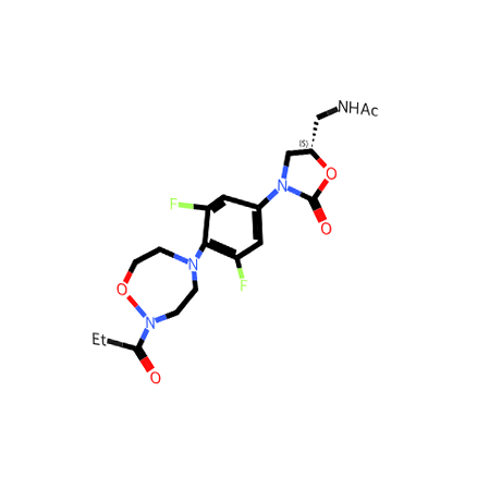 CCC(=O)N1CCN(c2c(F)cc(N3C[C@H](CNC(C)=O)OC3=O)cc2F)CCO1